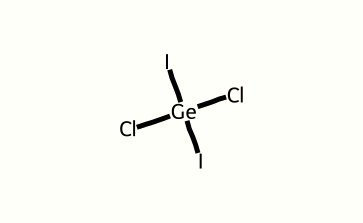 [Cl][Ge]([Cl])([I])[I]